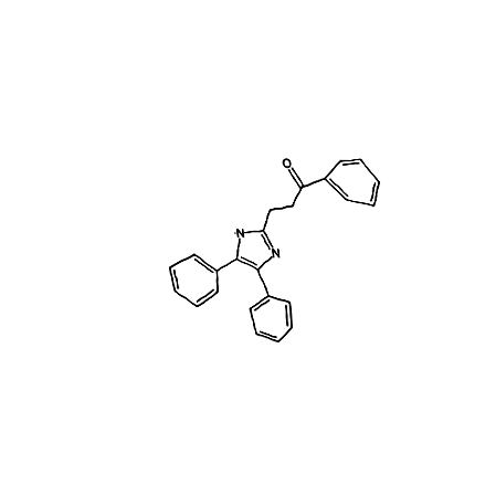 O=C(CCC1=NC(c2ccccc2)=C(c2ccccc2)[N]1)c1ccccc1